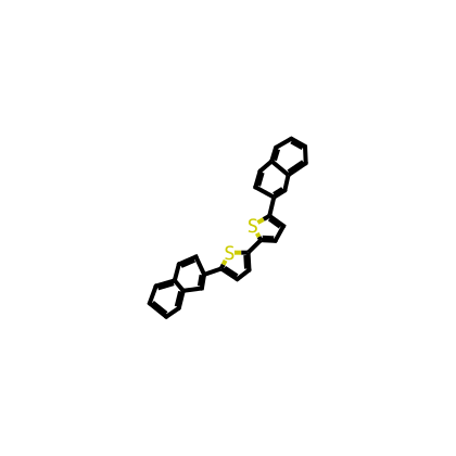 c1ccc2cc(-c3ccc(-c4ccc(-c5ccc6ccccc6c5)s4)s3)ccc2c1